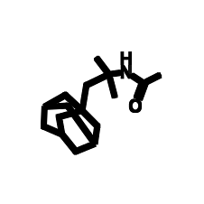 CC(=O)NC(C)(C)CC12CC3CC(CC(C3)C1)C2